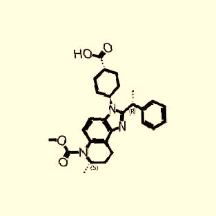 COC(=O)N1c2ccc3c(nc([C@H](C)c4ccccc4)n3[C@H]3CC[C@H](C(=O)O)CC3)c2CC[C@@H]1C